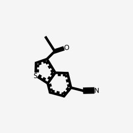 CC(=O)c1csc2ccc(C#N)cc12